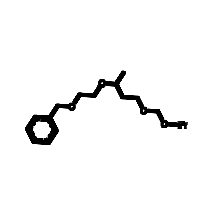 CC(C)OCOCCC(C)OCCOCc1ccccc1